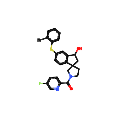 CC(C)c1ccccc1Sc1ccc2c(c1)C(O)CC21CCN(C(=O)c2ccc(F)cn2)C1